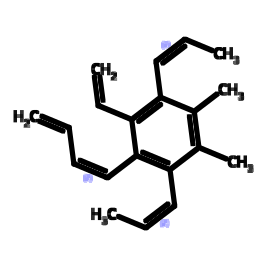 C=C/C=C\c1c(C=C)c(/C=C\C)c(C)c(C)c1/C=C\C